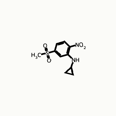 CS(=O)(=O)c1ccc([N+](=O)[O-])c(NC2CC2)c1